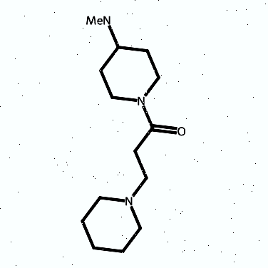 CNC1CCN(C(=O)CCN2CCCCC2)CC1